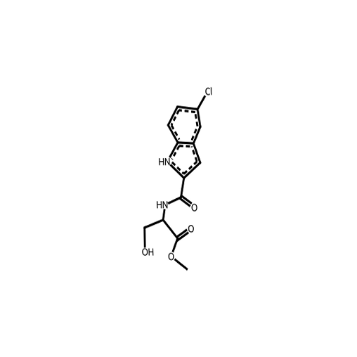 COC(=O)C(CO)NC(=O)c1cc2cc(Cl)ccc2[nH]1